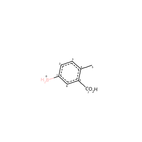 Bc1ccc(C)c(C(=O)O)c1